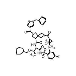 C[C@@H](OCC1CCCCC1)[C@H](NC(=O)[C@@H]1CN(C(=O)c2cnn(Cc3ccccc3)c2)CC12CN(C(=O)[C@H]1CC1(C)C)C2)C(=O)NS(=O)(=O)c1ccc(F)cc1F